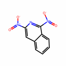 O=[N+]([O-])c1cc2ccccc2c([N+](=O)[O-])n1